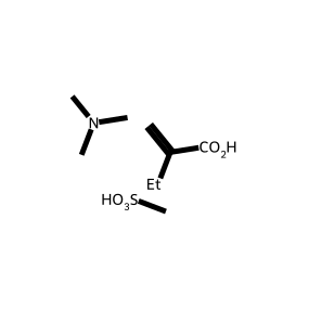 C=C(CC)C(=O)O.CN(C)C.CS(=O)(=O)O